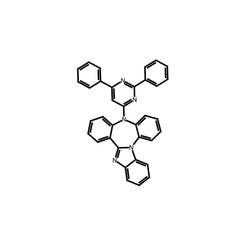 c1ccc(-c2cc(N3c4ccccc4-c4nc5ccccc5n4-c4ccccc43)nc(-c3ccccc3)n2)cc1